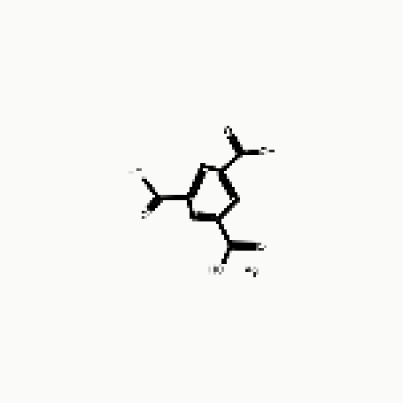 O=C(O)c1cc(C(=O)O)cc(C(=O)O)c1.[Ag]